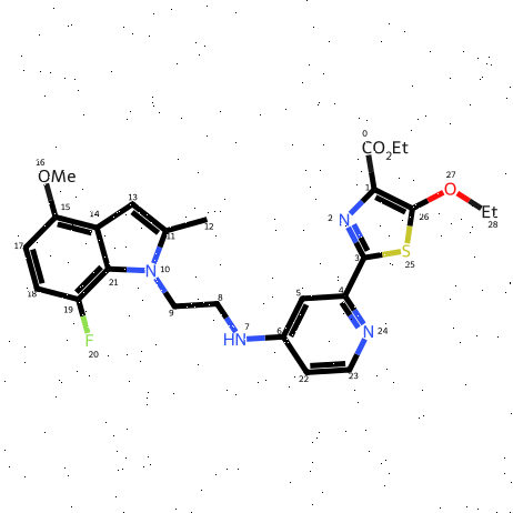 CCOC(=O)c1nc(-c2cc(NCCn3c(C)cc4c(OC)ccc(F)c43)ccn2)sc1OCC